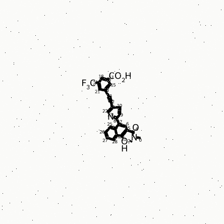 CN(C)C(=O)c1cc(-c2ccc(C#Cc3cc(C(=O)O)cc(C(F)(F)F)c3)cn2)c2ccccc2c1O